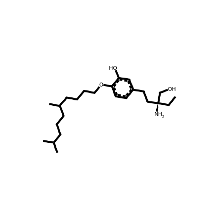 CC[C@@](N)(CO)CCc1ccc(OCCCCC(C)CCCC(C)C)c(O)c1